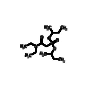 CCC(C)OP(=O)(CC(=O)N(CC)CC)OC(C)CC